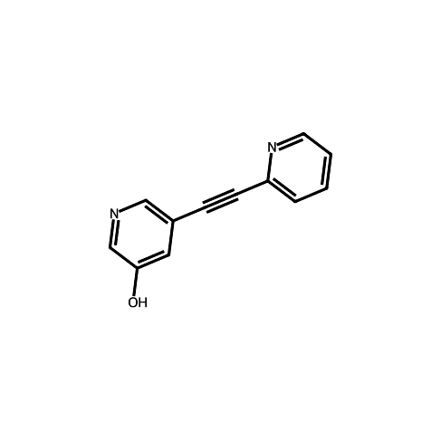 Oc1cncc(C#Cc2ccccn2)c1